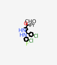 CC(C)C(OC=O)c1c[nH]c(C(Nc2ccc(F)c(Cl)c2)c2ccc(Cl)cc2)c1